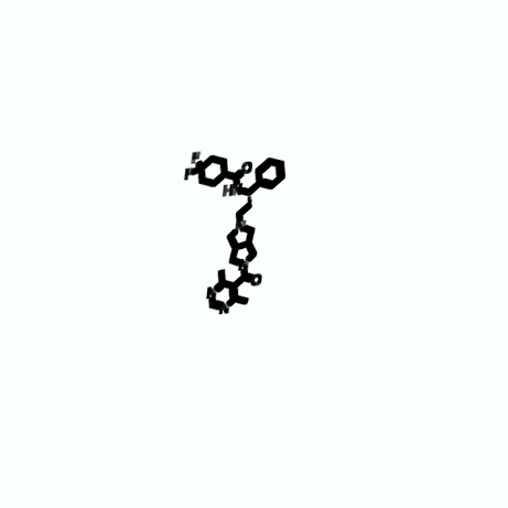 Cc1ncnc(C)c1C(=O)N1CC2CN(CC[C@H](NC(=O)C3CCC(F)(F)CC3)c3ccccc3)CC2C1